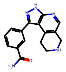 NC(=O)c1cccc(-c2n[nH]c3ncc4c(c23)CCNC4)c1